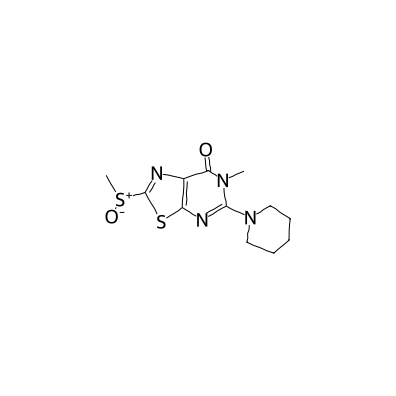 Cn1c(N2CCCCC2)nc2sc([S+](C)[O-])nc2c1=O